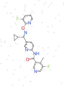 Cc1c(F)cncc1C(=O)Nc1ccc(/C(=N/Oc2ncccc2F)C2CC2)cn1